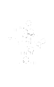 COC(=O)[C@H]1C[C@@H](Nc2nc(Nc3cc(C)nc(C)c3)ncc2-c2nc3ccccc3s2)[C@H](OC)[C@@H]1CC(C)(C)[Si](O)(c1ccccc1)c1ccccc1